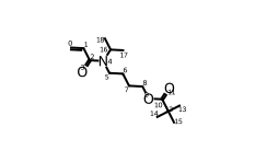 C=CC(=O)N(CCCCOC(=O)C(C)(C)C)C(C)C